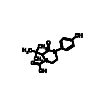 CC(C)(C)C1C(=O)N(c2ccc(O)cc2)CCN1C(=O)O